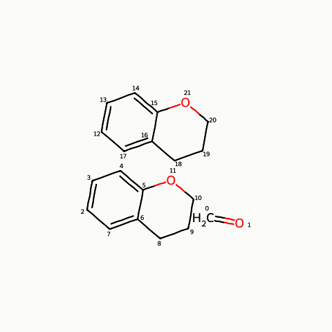 C=O.c1ccc2c(c1)CCCO2.c1ccc2c(c1)CCCO2